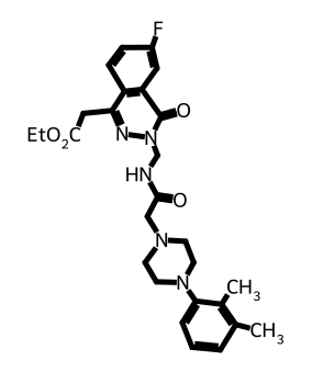 CCOC(=O)Cc1nn(CNC(=O)CN2CCN(c3cccc(C)c3C)CC2)c(=O)c2cc(F)ccc12